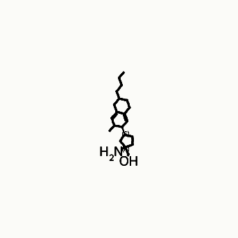 CCCCC1CCC2=CC([C@H]3CC[C@](N)(CO)C3)C(C)C=C2C1